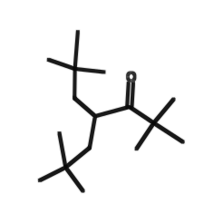 CC(C)(C)CC(CC(C)(C)C)C(=O)C(C)(C)C